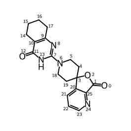 O=C1OC2(CCN(c3nc4c(c(=O)[nH]3)CCCC4)CC2)c2cccnc21